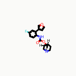 O=C(Nc1ccc(F)cc1-c1ccoc1)O[C@H]1C[N@]2CC[C@H]1CC2